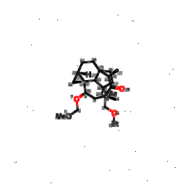 CCOC[C@]1(C)C[C@@H](OCOC)[C@]23C[C@@H]2CCC2(CC[C@@H](OC)C23)[C@@H](C)C1=O